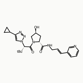 CC(C)(C)[C@@H](C(=O)N1C[C@@H](O)C[C@@H]1C(=O)NCC=Cc1cccnc1)n1cc(C2CC2)nn1